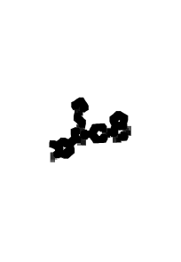 Cc1cc(-c2cn(CCN3CCC3)c(C3CCN(c4ncnc5c4CCC5)CC3)n2)ccc1F